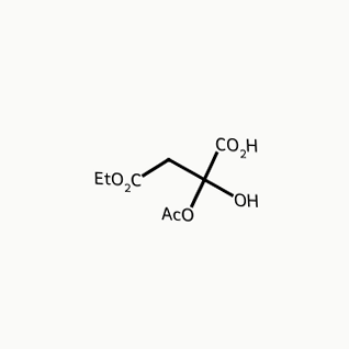 CCOC(=O)CC(O)(OC(C)=O)C(=O)O